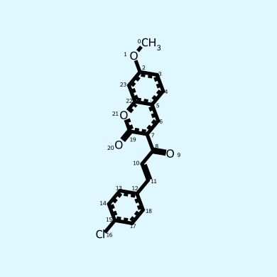 COc1ccc2cc(C(=O)C=Cc3ccc(Cl)cc3)c(=O)oc2c1